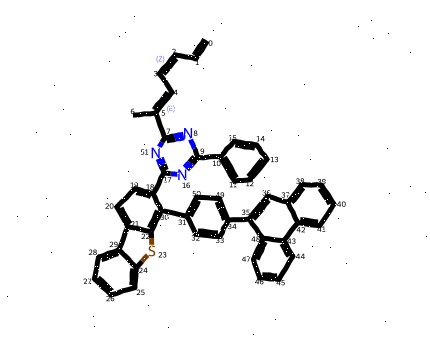 C=C/C=C\C=C(/C)c1nc(-c2ccccc2)nc(-c2ccc3c(sc4ccccc43)c2-c2ccc(-c3cc4ccccc4c4ccccc34)cc2)n1